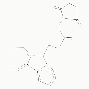 C/C=C1\C(=C/C)c2ccccc2C1COC(=O)ON1C(=O)CCC1=O